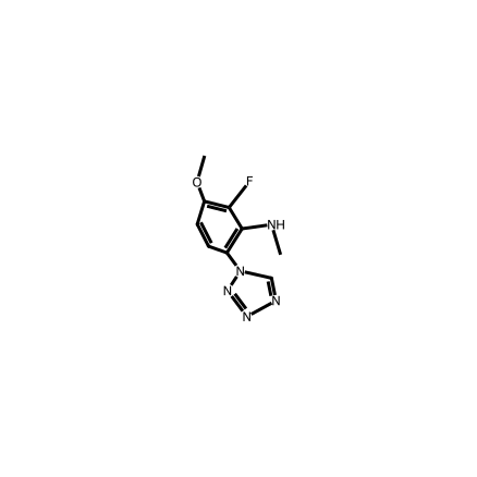 CNc1c(-n2cnnn2)ccc(OC)c1F